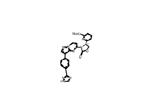 COc1cccc([C@H]2COC(=O)N2c2ccn3ncc(-c4ccc(-c5nc[nH]n5)cc4)c3n2)n1